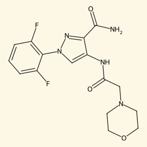 NC(=O)c1nn(-c2c(F)cccc2F)cc1NC(=O)CN1CCOCC1